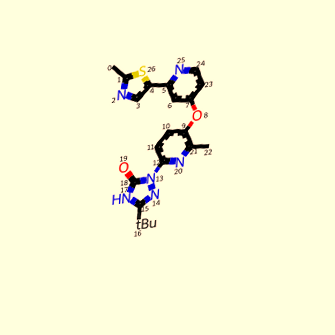 Cc1ncc(-c2cc(Oc3ccc(-n4nc(C(C)(C)C)[nH]c4=O)nc3C)ccn2)s1